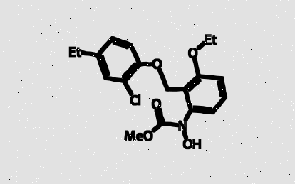 CCOc1cccc(N(O)C(=O)OC)c1COc1ccc(CC)cc1Cl